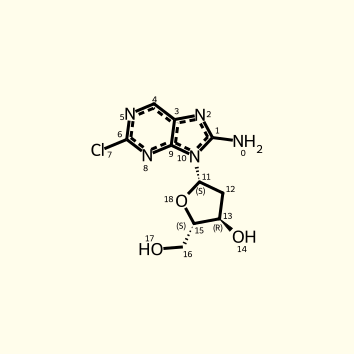 Nc1nc2cnc(Cl)nc2n1[C@@H]1C[C@@H](O)[C@H](CO)O1